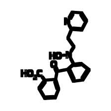 O=C(O)c1ccccc1C(=O)c1ccccc1N(O)CCc1ccccn1